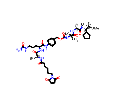 CC[C@@H](OC)[C@H](C1CCCC1)N(C)C(=O)[C@@H](NC(=O)C(C)(C)NC(=O)OCc1ccc(NC(=O)C(CCCNC(N)=O)NC(=O)[C@@H](NC(=O)CCCCCN2C(=O)C=CC2=O)C(C)C)cc1)C(C)C